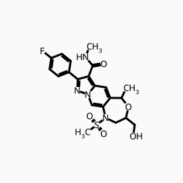 CNC(=O)c1c(-c2ccc(F)cc2)nn2cc3c(cc12)C(C)OC(CO)CN3S(C)(=O)=O